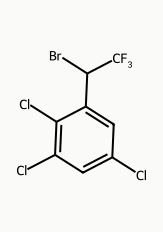 FC(F)(F)C(Br)c1cc(Cl)cc(Cl)c1Cl